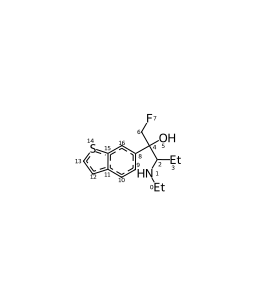 CCNC(CC)C(O)(CF)c1ccc2ccsc2c1